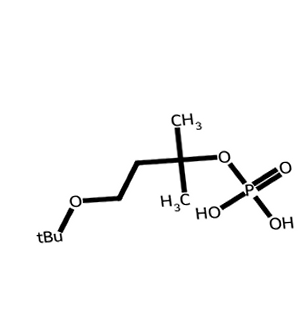 CC(C)(C)OCCC(C)(C)OP(=O)(O)O